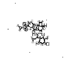 O=C(N[C@@H](c1cc(F)c(Cl)cc1F)C1CC1)[C@H]1C[C@H]2C=C[C@H]2N1C(=O)c1ccnc(S(=O)(=O)C2CC2)c1